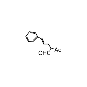 CC(=O)C(C=O)CC=Cc1ccccc1